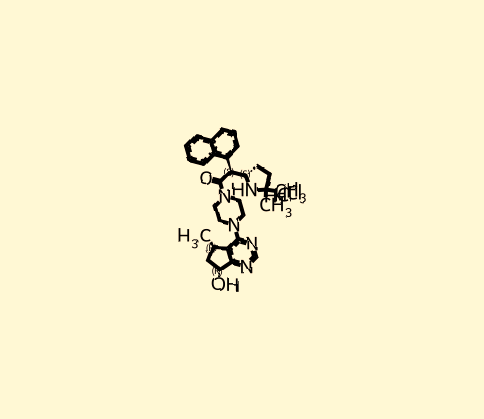 C[C@@H]1C[C@@H](O)c2ncnc(N3CCN(C(=O)[C@@H](c4cccc5ccccc45)[C@@H]4CCC(C)(C)N4)CC3)c21.Cl.Cl